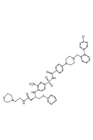 O=C(C[C@H](CSc1ccccc1)Nc1ccc(S(=O)(=O)NC(=O)c2ccc(N3CCN(Cc4ccccc4-c4ccc(Cl)cc4)CC3)cc2)cc1[N+](=O)[O-])NCCN1CCOCC1